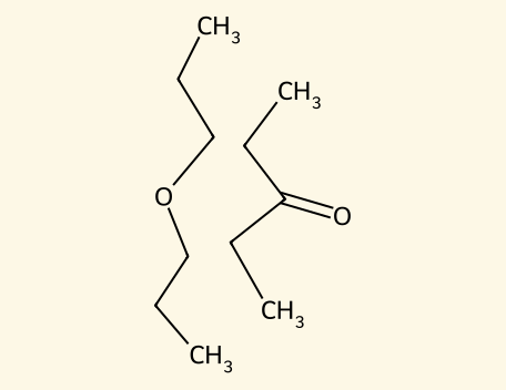 CCC(=O)CC.CCCOCCC